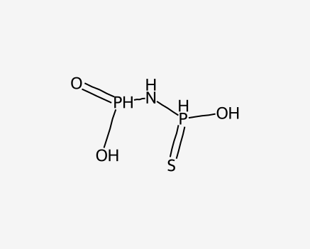 O=[PH](O)N[PH](O)=S